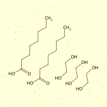 CCCCCCCC(=O)O.CCCCCCCC(=O)O.OCCO.OCCO.OCCO